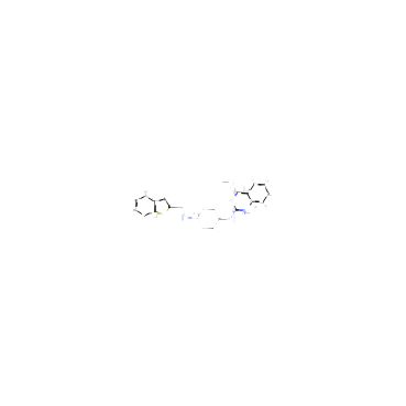 CN(C)c1nc(NC2CCC(NCc3cc4ccccc4s3)CC2)nc2ccccc12